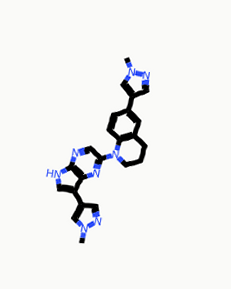 Cn1cc(-c2ccc3c(c2)CCCN3c2cnc3[nH]cc(-c4cnn(C)c4)c3n2)cn1